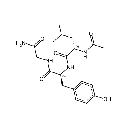 CC(=O)N[C@@H](CC(C)C)C(=O)N[C@@H](Cc1ccc(O)cc1)C(=O)NCC(N)=O